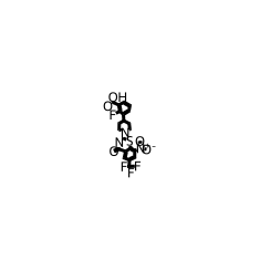 O=C(O)c1cccc(C2CCN(c3nc(=O)c4cc(C(F)(F)F)cc([N+](=O)[O-])c4s3)CC2)c1F